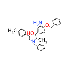 Cc1ccc(CCN(Cc2ccccc2)C(C)C(O)c2ccc(OCc3ccccc3)c(N)c2)cc1